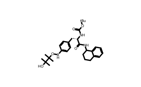 CC(C)(C)OC(=O)N[C@@H](Cc1ccc(BOC(C)(C)C(C)(C)O)cc1)C(=O)NC1CCCc2ccccc21